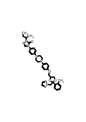 CCC(C)n1ncn(-c2ccc(N3CCN(c4ccc(OCC5COC(Cn6nccn6)(c6ccccc6C)O5)cc4)CC3)cc2)c1=O